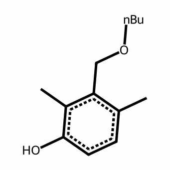 CCCCOCc1c(C)ccc(O)c1C